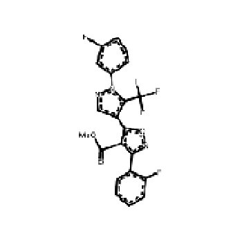 COC(=O)c1c(-c2ccccc2F)noc1-c1cnn(-c2cccc(F)c2)c1C(F)(F)I